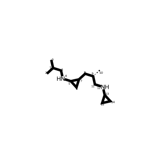 CC(C)CNC1CC1C[C@H](C)CNC1CC1